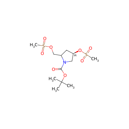 CC(C)(C)OC(=O)N1C[C@H](OS(C)(=O)=O)CC1COS(C)(=O)=O